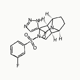 O=C(c1cnn[nH]1)N1[C@@H]2CC[C@H]1[C@H]1CN(S(=O)(=O)c3cccc(F)c3)C[C@H]12